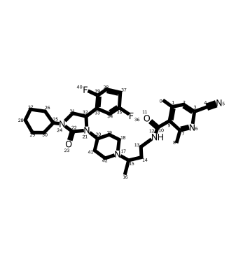 Cc1cc(C#N)nc(C)c1C(=O)NCCC(C)N1CCC(N2C(=O)N(C3CCCCC3)CC2c2cc(F)ccc2F)CC1